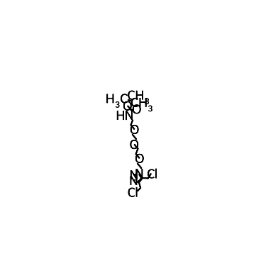 CC(C)(C)OC(=O)NCCOCCOCCOCCn1nnc(CCl)c1CCl